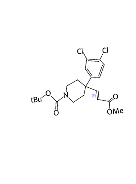 COC(=O)/C=C/C1(c2ccc(Cl)c(Cl)c2)CCN(C(=O)OC(C)(C)C)CC1